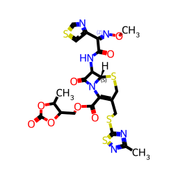 CO/N=C(\C(=O)NC1C(=O)N2C(C(=O)OCC3OC(=O)OC3C)=C(CSc3nc(C)ns3)CS[C@@H]12)c1cscn1